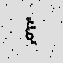 Cc1ccc(C[C@@H](O)CC(=O)O)cc1